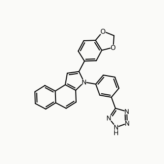 c1cc(-c2nn[nH]n2)cc(-n2c(-c3ccc4c(c3)OCO4)cc3c4ccccc4ccc32)c1